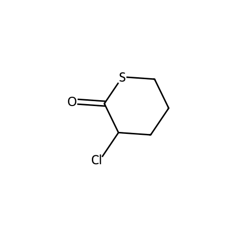 O=C1SCCCC1Cl